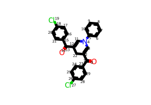 O=C(C1=CN(c2ccccc2)C=C(C(=O)c2ccc(Cl)cc2)C1)c1ccc(Cl)cc1